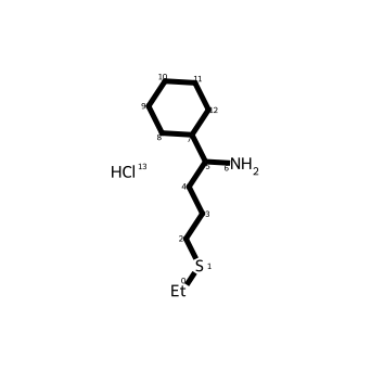 CCSCCCC(N)C1CCCCC1.Cl